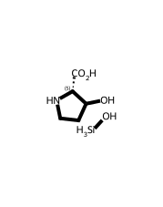 O=C(O)[C@H]1NCCC1O.O[SiH3]